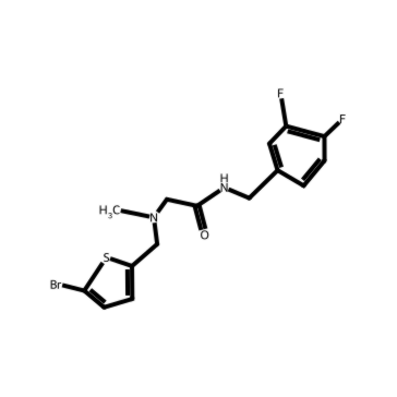 CN(CC(=O)NCc1ccc(F)c(F)c1)Cc1ccc(Br)s1